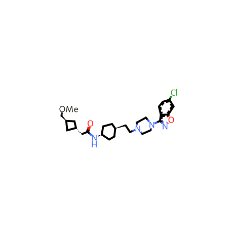 COC[C@H]1C[C@H](CC(=O)N[C@H]2CC[C@H](CCN3CCN(c4noc5cc(Cl)ccc45)CC3)CC2)C1